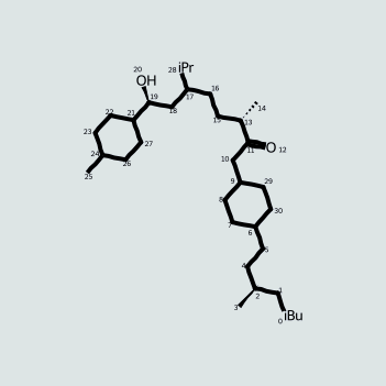 CCC(C)C[C@@H](C)CCC1CCC(CC(=O)[C@@H](C)CCC(C[C@H](O)C2CCC(C)CC2)C(C)C)CC1